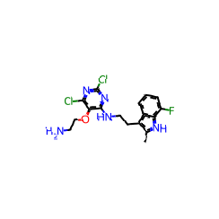 Cc1[nH]c2c(F)cccc2c1CCNc1nc(Cl)nc(Cl)c1OCCN